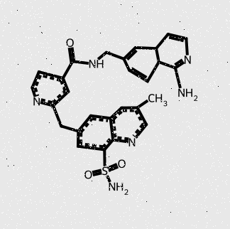 Cc1cnc2c(S(N)(=O)=O)cc(Cc3cc(C(=O)NCC4=CC5C=CN=C(N)C5C=C4)ccn3)cc2c1